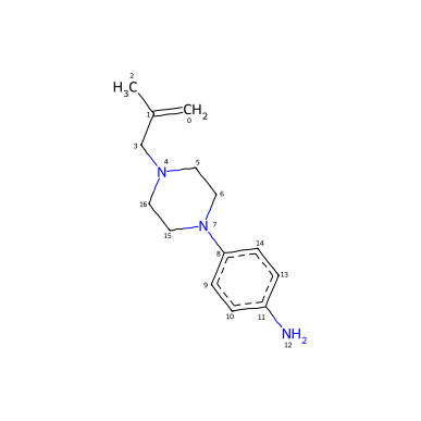 C=C(C)CN1CCN(c2ccc(N)cc2)CC1